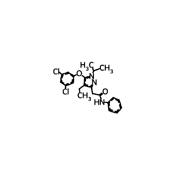 CCc1c(CC(=O)Nc2ccccc2)nn(C(C)C)c1Oc1cc(Cl)cc(Cl)c1